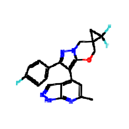 Cc1cc(-c2c(-c3ccc(F)cc3)nn3c2OCC2(C3)CC2(F)F)c2cn[nH]c2n1